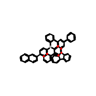 c1ccc(-c2cc(-c3ccccc3N(c3ccc(-c4ccc5ccccc5c4)cc3)c3ccccc3-c3ccccc3)cc(-n3c4ccccc4c4ccccc43)c2)cc1